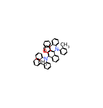 Cc1ccccc1N(c1ccccc1-c1ccccc1)c1c2ccccc2c(N(c2ccccc2C)c2ccccc2-c2ccccc2)c2c1oc1ccccc12